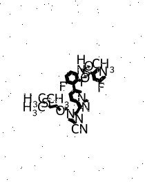 Cc1ncc(F)cc1S(=O)(=O)Nc1ccc(F)c(-c2ccc3c(-c4nc(C#N)cn4COCC[Si](C)(C)C)ncn3c2)c1F